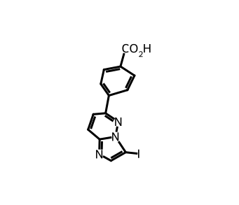 O=C(O)c1ccc(-c2ccc3ncc(I)n3n2)cc1